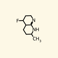 CC1CCC2C(=NCCC2F)N1